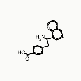 NC(Cc1ccc(C(=O)O)cc1)c1cccc2cccnc12